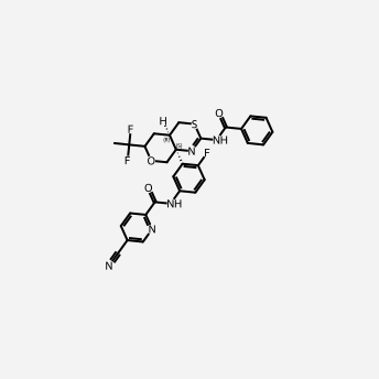 CC(F)(F)C1C[C@H]2CSC(NC(=O)c3ccccc3)=N[C@@]2(c2cc(NC(=O)c3ccc(C#N)cn3)ccc2F)CO1